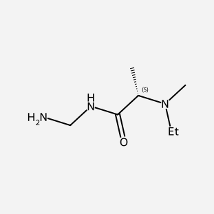 CCN(C)[C@@H](C)C(=O)NCN